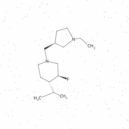 CCN1CC[C@H](CN2CC[C@@H](C(C)C)[C@H](F)C2)C1